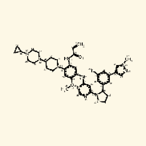 C=CC(=O)Nc1cc(Nc2cc(N3OCCC3c3cc(F)cc(-c4cnn(C)c4)c3)ncn2)c(OC)cc1N1CCC(N2CCN(C3CC3)CC2)CC1